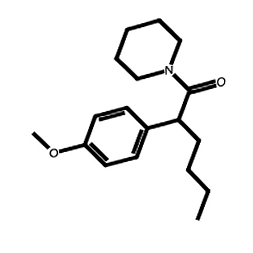 CCCCC(C(=O)N1CCCCC1)c1ccc(OC)cc1